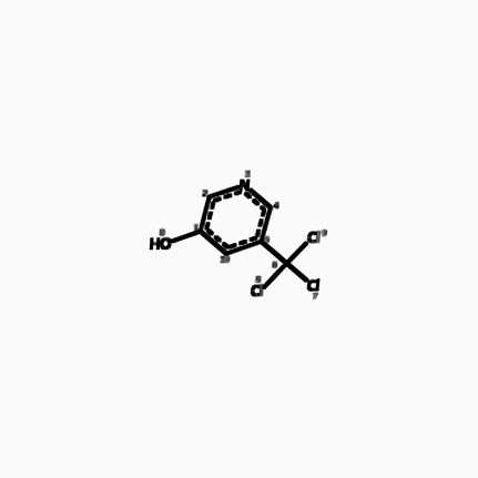 Oc1cncc(C(Cl)(Cl)Cl)c1